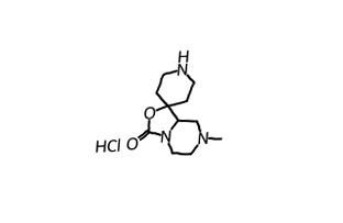 CN1CCN2C(=O)OC3(CCNCC3)C2C1.Cl